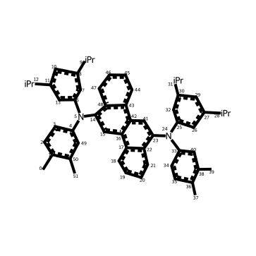 Cc1ccc(N(c2cc(C(C)C)cc(C(C)C)c2)c2cc3c4ccccc4c(N(c4cc(C(C)C)cc(C(C)C)c4)c4ccc(C)c(C)c4)cc3c3ccccc23)cc1C